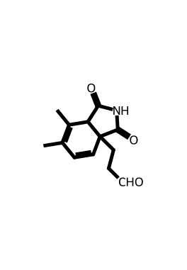 CC1=C(C)C2C(=O)NC(=O)C2(CCC=O)C=C1